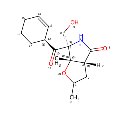 CC1C[C@H]2C(=O)N[C@](CO)(C(=O)[C@@H]3C=CCCC3)[C@@]2(C)O1